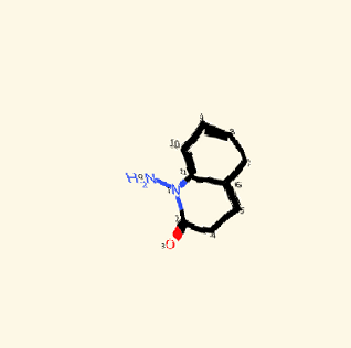 NN1C(=O)CCC2CC=CC=C21